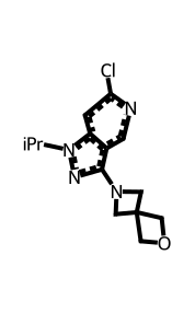 CC(C)n1nc(N2CC3(COC3)C2)c2cnc(Cl)cc21